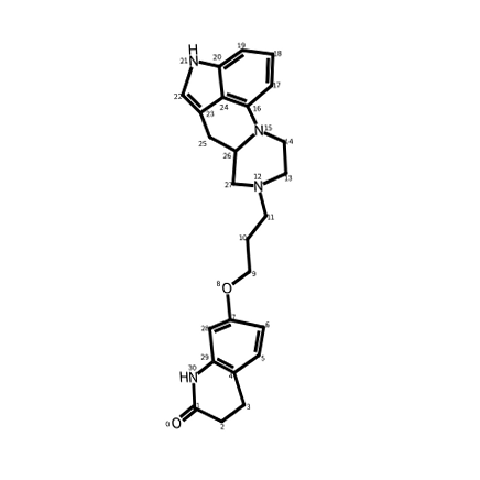 O=C1CCc2ccc(OCCCN3CCN4c5cccc6[nH]cc(c56)CC4C3)cc2N1